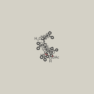 CC(=O)Oc1cc(C(=O)OC(c2ccccc2)c2ccccc2)c(CON=C(C(=O)N[C@@H]2C(=O)N3C(C(=O)OC(c4ccccc4)c4ccccc4)=C(CSc4cc(C)nc5nc(C(=O)OC(c6ccccc6)c6ccccc6)nn45)CS[C@H]23)c2csc(NC(c3ccccc3)(c3ccccc3)c3ccccc3)n2)cc1O